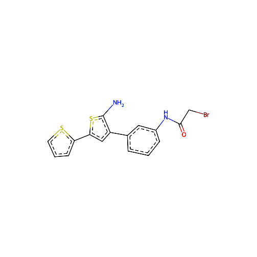 Nc1sc(-c2cccs2)cc1-c1cccc(NC(=O)CBr)c1